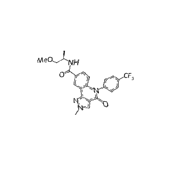 COC[C@@H](C)NC(=O)c1ccc2c(c1)c1nn(C)cc1c(=O)n2-c1ccc(C(F)(F)F)cc1